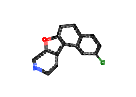 Clc1ccc2ccc3oc4cnccc4c3c2c1